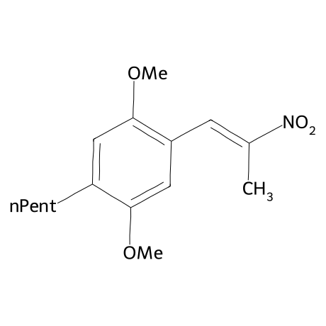 CCCCCc1cc(OC)c(C=C(C)[N+](=O)[O-])cc1OC